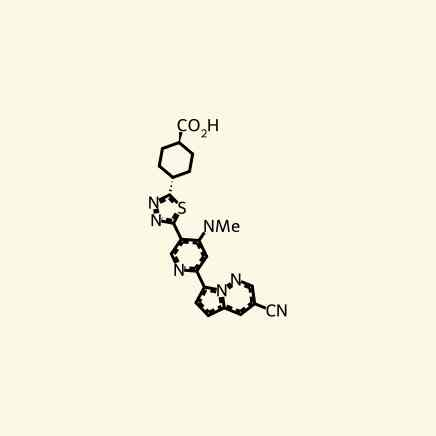 CNc1cc(-c2ccc3cc(C#N)cnn23)ncc1-c1nnc([C@H]2CC[C@H](C(=O)O)CC2)s1